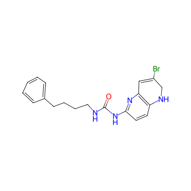 O=C(NCCCCc1ccccc1)Nc1ccc2c(n1)C=C(Br)CN2